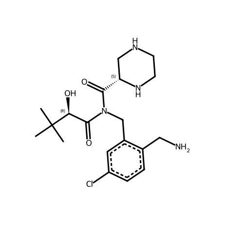 CC(C)(C)[C@@H](O)C(=O)N(Cc1cc(Cl)ccc1CN)C(=O)[C@@H]1CNCCN1